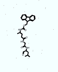 CC(C)CC(C=O)NC(=O)CNC(=O)CCC(C)NC(=O)OCC1c2ccccc2-c2ccccc21